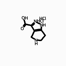 Cl.Cl.O=C(O)c1n[nH]c2c1CNCC2